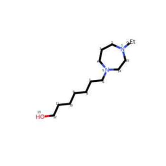 CCN1CCCN(CCCCCCCO)CC1